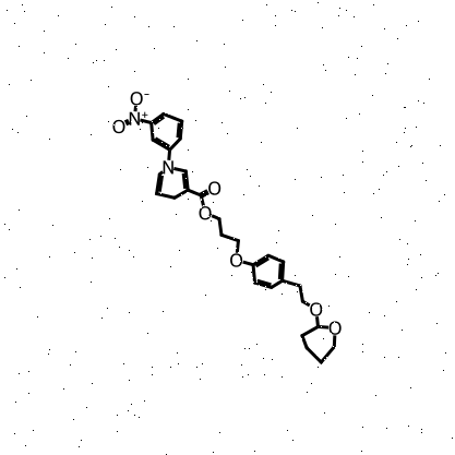 O=C(OCCCOc1ccc(CCOC2CCCCO2)cc1)C1=CN(c2cccc([N+](=O)[O-])c2)C=CC1